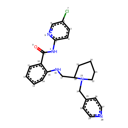 O=C(Nc1ccc(Cl)cn1)c1ccccc1NCC1CCCCN1Cc1ccncc1